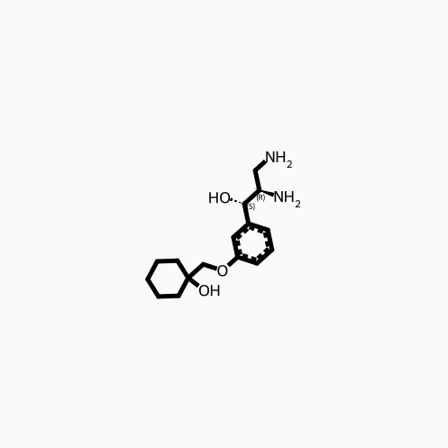 NC[C@@H](N)[C@@H](O)c1cccc(OCC2(O)CCCCC2)c1